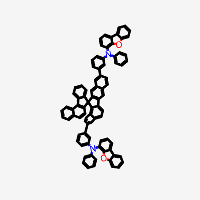 c1ccc(N(c2cccc(-c3ccc4cc5c(cc4c3)C3(c4ccccc4-c4c3ccc3ccccc43)c3c-5ccc4cc(-c5cccc(N(c6ccccc6)c6cccc7c6oc6ccccc67)c5)ccc34)c2)c2cccc3c2oc2ccccc23)cc1